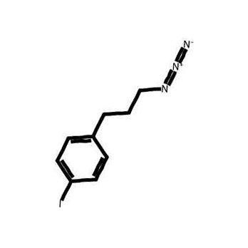 [N-]=[N+]=NCCCc1ccc(I)cc1